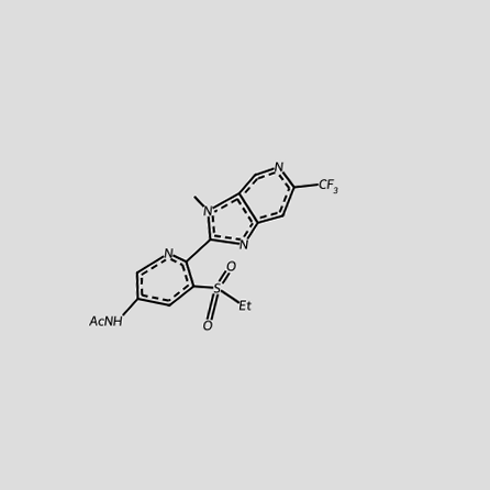 CCS(=O)(=O)c1cc(NC(C)=O)cnc1-c1nc2cc(C(F)(F)F)ncc2n1C